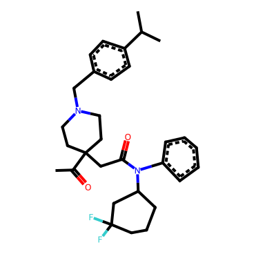 CC(=O)C1(CC(=O)N(c2ccccc2)C2CCCC(F)(F)C2)CCN(Cc2ccc(C(C)C)cc2)CC1